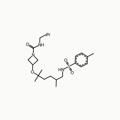 Cc1ccc(S(=O)(=O)NCC(C)CCC(C)(C)OC2CN(C(=O)NCC(C)C)C2)cc1